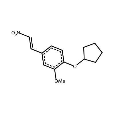 COc1cc(C=C[N+](=O)[O-])ccc1OC1CCCC1